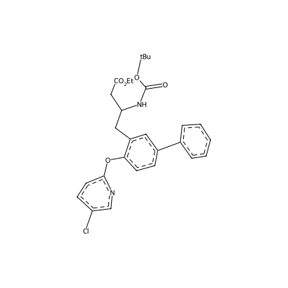 CCOC(=O)CC(Cc1cc(-c2ccccc2)ccc1Oc1ccc(Cl)cn1)NC(=O)OC(C)(C)C